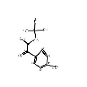 [2H]C(OC(F)(F)F)C(=O)c1ccc(Br)cc1